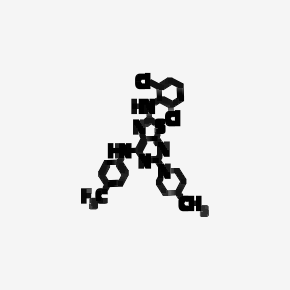 CC1CCN(c2nc(Nc3ccc(C(F)(F)F)cc3)c3nc(Nc4c(Cl)cccc4Cl)sc3n2)CC1